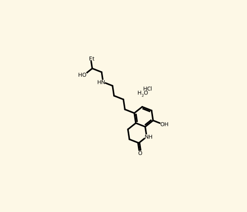 CCC(O)CNCCCCc1ccc(O)c2c1CCC(=O)N2.Cl.O